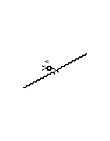 CCCCCCCCCCCCCCCCCC(C)N(Cc1ccc([N+](=O)[O-])cc1)C(C)CCCCCCCCCCCCCCCCC.Cl